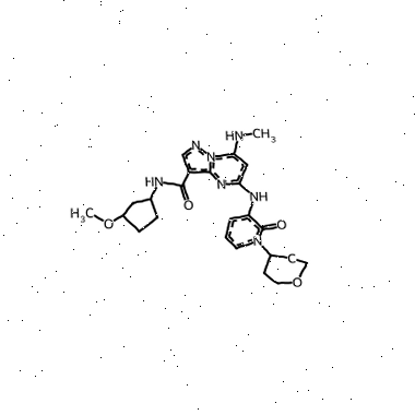 CNc1cc(Nc2cccn(C3CCOCC3)c2=O)nc2c(C(=O)NC3CCC(OC)C3)cnn12